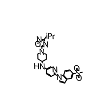 CC(C)c1noc(N2CCC(Nc3ccc(-n4ccc5cc(S(C)(=O)=O)ccc54)nc3)CC2)n1